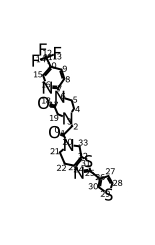 O=C(CN1CCN(c2ccc(C(F)(F)F)cn2)C(=O)C1)N1CCc2nc(-c3ccsc3)sc2C1